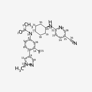 CC(=O)N(c1ccc(-c2cnn(C)c2)c(F)c1)[C@H]1CC[C@H](Nc2ccc(C#N)cn2)CC1